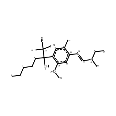 CCCCCC(O)(c1cc(C)c(/N=C/N(C)CC)cc1OC)C(F)(F)F